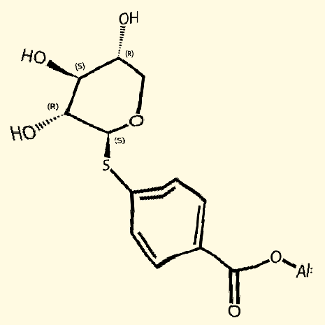 O=C([O][Al])c1ccc(S[C@@H]2OC[C@@H](O)[C@H](O)[C@H]2O)cc1